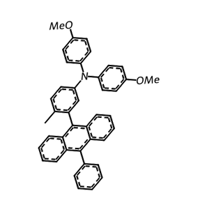 COc1ccc(N(c2ccc(OC)cc2)c2ccc(C)c(-c3c4ccccc4c(-c4ccccc4)c4ccccc34)c2)cc1